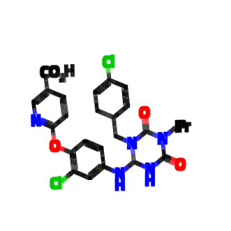 CC(C)N1C(=O)NC(Nc2ccc(Oc3ccc(C(=O)O)cn3)c(Cl)c2)N(CC2C=CC(Cl)=CC2)C1=O